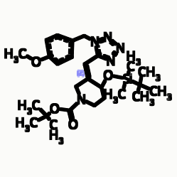 COc1ccc(Cn2nnnc2/C=C2/CN(C(=O)OC(C)(C)C)CCC2O[Si](C)(C)C(C)(C)C)cc1